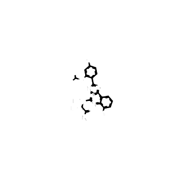 CCNC(=O)[C@H](CC)[AsH]c1nc2c(Br)cccc2c2nc(-c3ccc(Cl)cc3OC(F)F)nn12